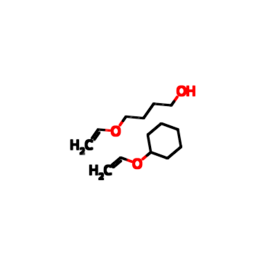 C=COC1CCCCC1.C=COCCCCO